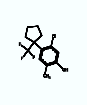 Cc1cc(C2(C(F)(F)F)CCCC2)c(Cl)cc1O